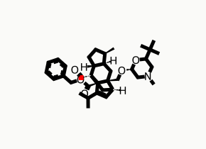 CC(C)C1=C[C@H]2C[C@@]3(C=O)[C@@H]4CC[C@@H](C)[C@H]4C[C@@]2(CO[C@H]2CN(C)CC(C(C)(C)C)O2)[C@]13C(=O)OCc1ccccc1